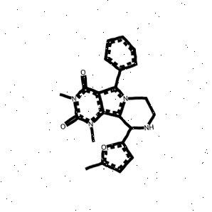 Cc1ccc(C2NCCn3c(-c4ccccc4)c4c(=O)n(C)c(=O)n(C)c4c32)o1